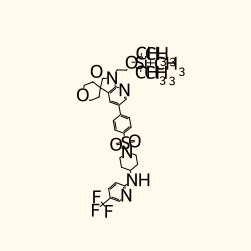 CC(C)(C)[Si](C)(C)OCCN1C(=O)C2(CCOCC2)c2cc(-c3ccc(S(=O)(=O)N4CCC(Nc5ccc(C(F)(F)F)cn5)CC4)cc3)cnc21